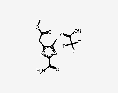 COC(=O)Cc1nc(C(N)=O)sc1C.O=C(O)C(F)(F)F